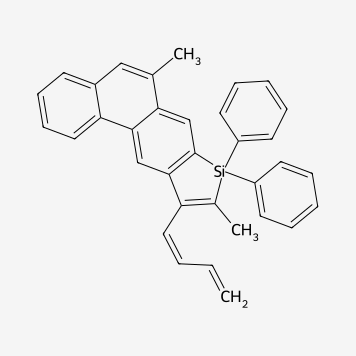 C=C/C=C\C1=C(C)[Si](c2ccccc2)(c2ccccc2)c2cc3c(C)cc4ccccc4c3cc21